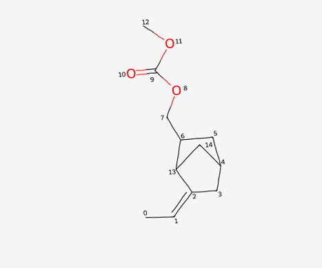 CC=C1CC2CC(COC(=O)OC)C1C2